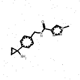 Cn1cc(C(=O)NCc2ccc(C3(N)CC3)cc2)nn1